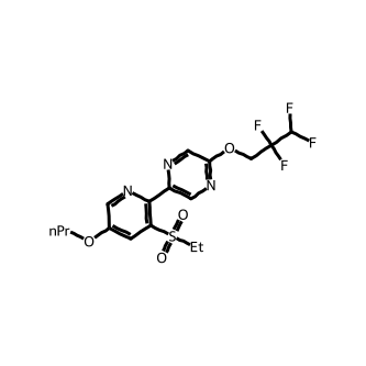 CCCOc1cnc(-c2cnc(OCC(F)(F)C(F)F)cn2)c(S(=O)(=O)CC)c1